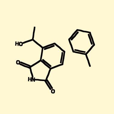 CC(O)c1cccc2c1C(=O)NC2=O.Cc1ccccc1